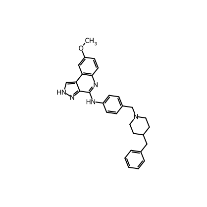 COc1ccc2nc(Nc3ccc(CN4CCC(Cc5ccccc5)CC4)cc3)c3n[nH]cc3c2c1